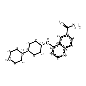 NC(=O)c1ccc2ncnc(O[C@H]3CC[C@H](N4CCOCC4)CC3)c2c1